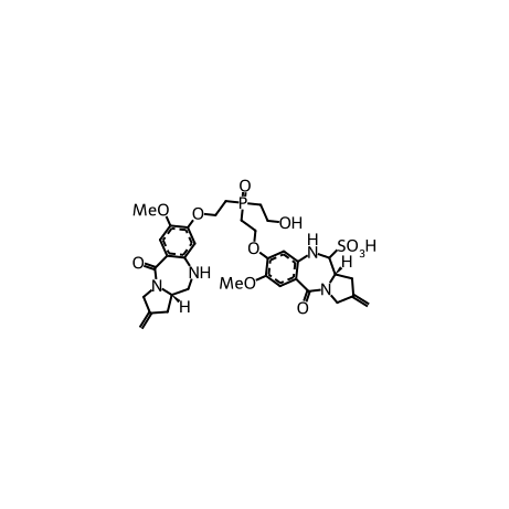 C=C1C[C@H]2CNc3cc(OCCP(=O)(CCO)CCOc4cc5c(cc4OC)C(=O)N4CC(=C)C[C@H]4C(S(=O)(=O)O)N5)c(OC)cc3C(=O)N2C1